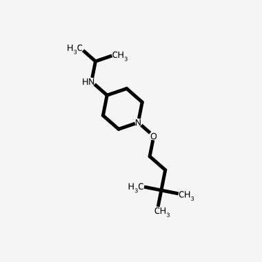 CC(C)NC1CCN(OCCC(C)(C)C)CC1